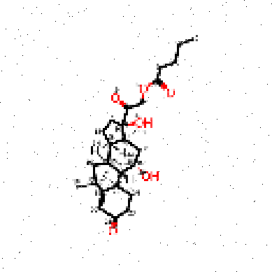 CCCCC(=O)OCC(=O)[C@@]1(O)CC[C@H]2[C@@H]3C[C@H](C)C4=CC(=O)CC[C@]4(C)[C@H]3[C@@H](O)C[C@@]21C